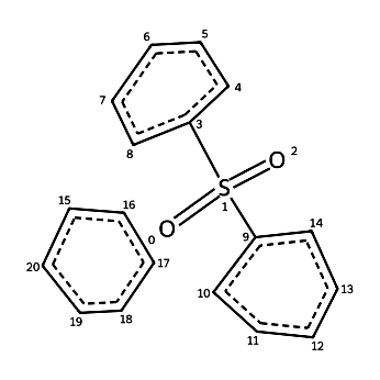 O=S(=O)(c1ccccc1)c1ccccc1.c1ccccc1